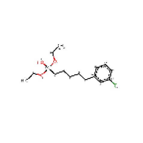 CCO[Si](O)(CCCCCc1cccc(F)c1)OCC